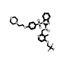 Cc1c(OCC(F)(F)F)ccnc1C[S+]([O-])c1nc2ccccc2n1S(=O)(=O)c1ccc(OCCN2CCOCC2)cc1